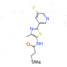 CSCCC(=O)Nc1sc(-c2cncc(F)c2)nc1C